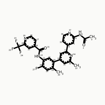 CC(=O)Nc1cc(-c2cc(-c3cc(NC(=O)c4ccnc(C(F)(F)F)c4)c(F)cc3C)cc(C)n2)ccn1